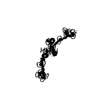 COc1ccccc1Oc1c(NS(=O)(=O)c2ccc(C(C)(C)COC(=O)CCCC(CO[N+](=O)[O-])O[N+](=O)[O-])cc2)nc(-c2ncccn2)nc1OCCOC(=O)CCCC(CO[N+](=O)[O-])O[N+](=O)[O-]